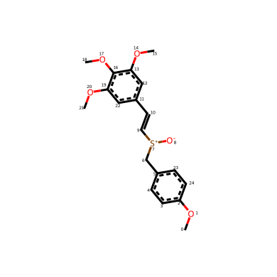 COc1ccc(C[S+]([O-])C=Cc2cc(OC)c(OC)c(OC)c2)cc1